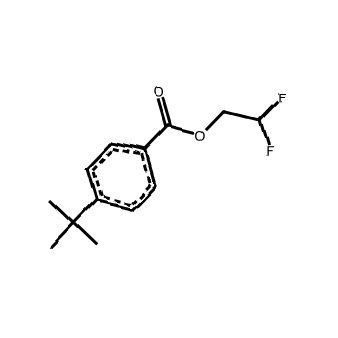 CC(C)(C)c1ccc(C(=O)OCC(F)F)cc1